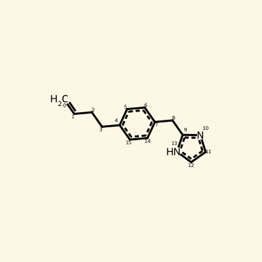 C=CCCc1ccc(Cc2ncc[nH]2)cc1